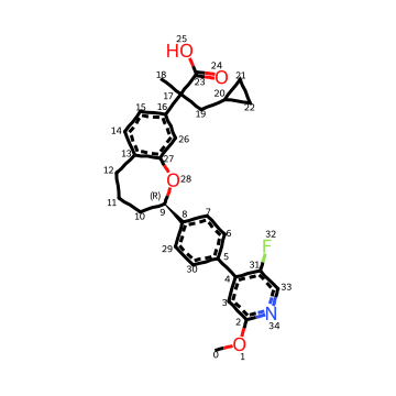 COc1cc(-c2ccc([C@H]3CCCc4ccc(C(C)(CC5CC5)C(=O)O)cc4O3)cc2)c(F)cn1